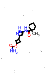 CC1(C(=O)Nc2cc(C3CC(OC(N)=O)C3)n[nH]2)CCCCC1